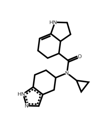 O=C(C1CCC=C2NCCC21)N(C1CC1)C1CCc2[nH]ncc2C1